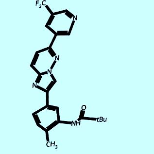 Cc1ccc(-c2cn3nc(-c4cncc(C(F)(F)F)c4)ccc3n2)cc1NC(=O)C(C)(C)C